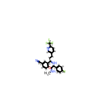 CNC(=O)[C@H](N[C@H](CCc1ccc(C(F)(F)F)nc1)c1cccc(C#N)c1)c1ccc(F)cc1